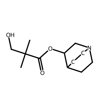 CC(C)(CO)C(=O)OC1CN2CCC1CC2